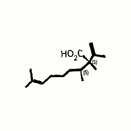 C=C(C)[C@@](C)(C(=O)O)[C@@H](C)CCCC=C(C)C